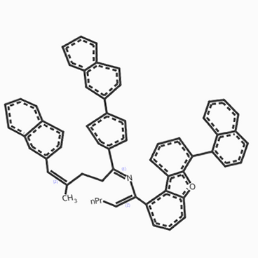 CCC/C=C(\N=C(/CC/C(C)=C\c1ccc2ccccc2c1)c1ccc(-c2ccc3ccccc3c2)cc1)c1cccc2oc3c(-c4cccc5ccccc45)cccc3c12